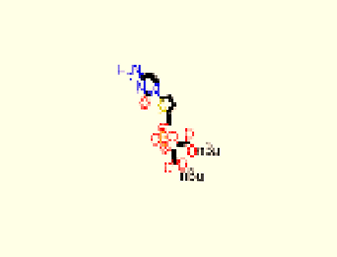 CCCCOC(=O)COP(=O)(OCC(=O)OCCCC)OCC1CC[C@H](n2ccc(N)nc2=O)S1